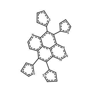 c1csc(-c2c(-c3cccs3)c3nnnc4c(-c5cccs5)c(-c5cccs5)c5nccc2c5c34)c1